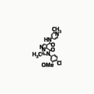 COc1cc(N2C[C@H](C)n3ncc(C(=O)Nc4ccnc(C)c4)c3C2=O)ccc1Cl